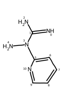 N=C(N)N(N)c1ccccn1